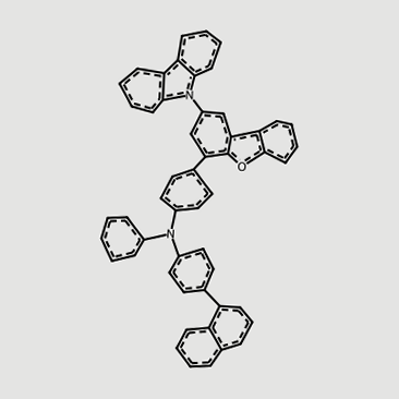 c1ccc(N(c2ccc(-c3cccc4ccccc34)cc2)c2ccc(-c3cc(-n4c5ccccc5c5ccccc54)cc4c3oc3ccccc34)cc2)cc1